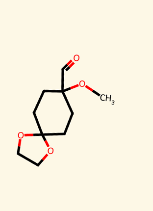 COC1(C=O)CCC2(CC1)OCCO2